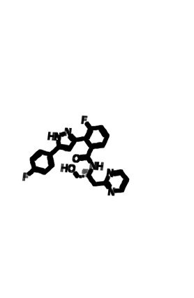 O=C(N[C@@H](CO)Cc1ncccn1)c1cccc(F)c1-c1cc(-c2ccc(F)cc2)[nH]n1